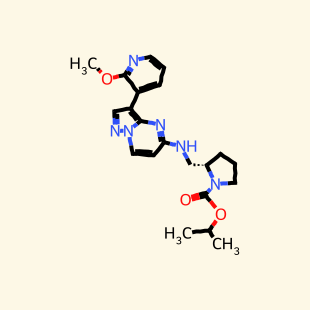 COc1ncccc1-c1cnn2ccc(NC[C@@H]3CCCN3C(=O)OC(C)C)nc12